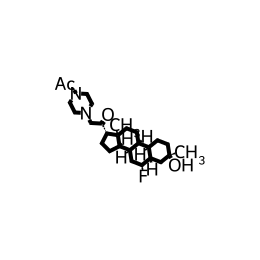 CC(=O)N1CCN(CC(=O)[C@H]2CC[C@H]3[C@@H]4C[C@@H](F)[C@H]5C[C@](C)(O)CC[C@@H]5[C@H]4CC[C@]23C)CC1